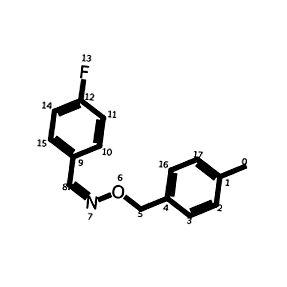 Cc1ccc(CO/N=[C]\c2ccc(F)cc2)cc1